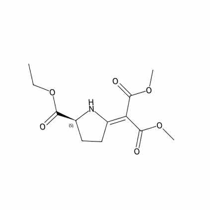 CCOC(=O)[C@@H]1CCC(=C(C(=O)OC)C(=O)OC)N1